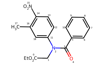 CCOC(=O)CN(C(=O)c1ccccc1)c1ccc([N+](=O)[O-])c(C)c1